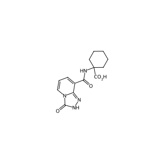 O=C(NC1(C(=O)O)CCCCC1)c1cccn2c(=O)[nH]nc12